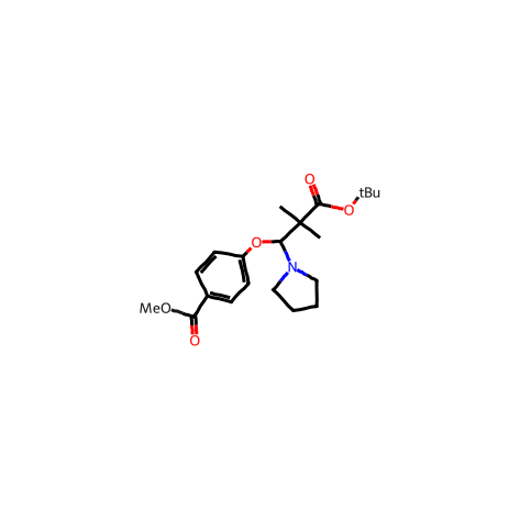 COC(=O)c1ccc(OC(N2CCCC2)C(C)(C)C(=O)OC(C)(C)C)cc1